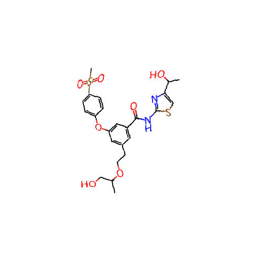 CC(CO)OCCc1cc(Oc2ccc(S(C)(=O)=O)cc2)cc(C(=O)Nc2nc(C(C)O)cs2)c1